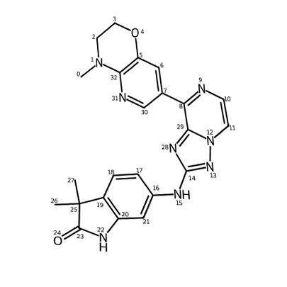 CN1CCOc2cc(-c3nccn4nc(Nc5ccc6c(c5)NC(=O)C6(C)C)nc34)cnc21